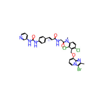 Cc1nc2c(OCc3c(Cl)ccc(N(C)C(=O)CNC(=O)/C=C/c4ccc(NC(=O)Nc5cccnc5)cc4)c3Cl)cccn2c1Br